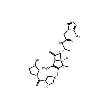 CC(NC(=O)Cn1nnnc1C(F)(F)F)[C@H]1C(=O)N2C(C(=O)O)=C(S[C@@H]3CN[C@H](C(=O)N4CC[C@@H](N)C4)C3)[C@H](C)[C@H]12